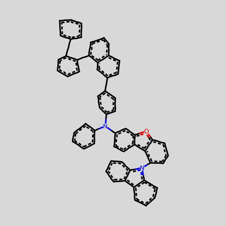 c1ccc(-c2ccccc2-c2cccc3ccc(-c4ccc(N(c5ccccc5)c5ccc6c(c5)oc5cccc(-n7c8ccccc8c8ccccc87)c56)cc4)cc23)cc1